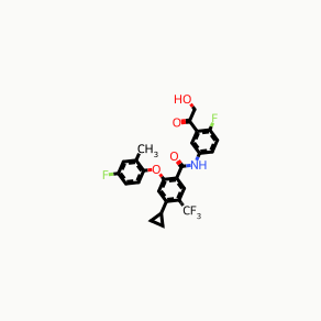 Cc1cc(F)ccc1Oc1cc(C2CC2)c(C(F)(F)F)cc1C(=O)Nc1ccc(F)c(C(=O)CO)c1